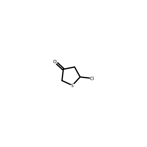 O=C1CSC(Cl)C1